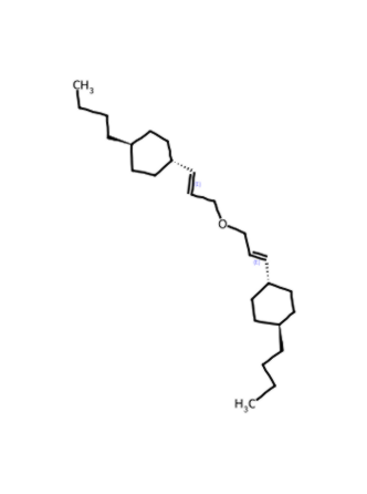 CCCC[C@H]1CC[C@H](/C=C/COC/C=C/[C@H]2CC[C@H](CCCC)CC2)CC1